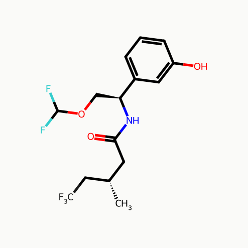 C[C@@H](CC(=O)N[C@@H](COC(F)F)c1cccc(O)c1)CC(F)(F)F